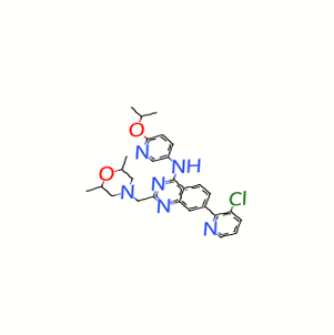 CC(C)Oc1ccc(Nc2nc(CN3CC(C)OC(C)C3)nc3cc(-c4ncccc4Cl)ccc23)cn1